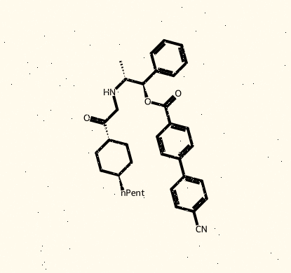 CCCCC[C@H]1CC[C@H](C(=O)CN[C@H](C)[C@H](OC(=O)c2ccc(-c3ccc(C#N)cc3)cc2)c2ccccc2)CC1